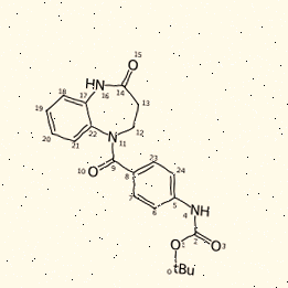 CC(C)(C)OC(=O)Nc1ccc(C(=O)N2CCC(=O)Nc3ccccc32)cc1